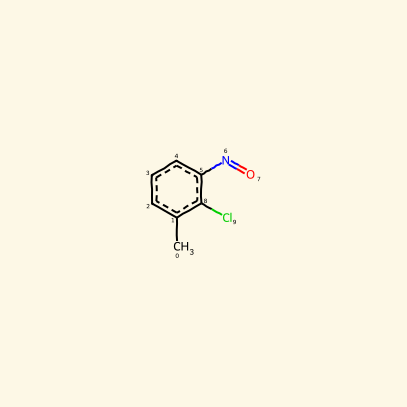 Cc1cccc(N=O)c1Cl